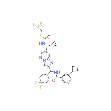 O=C(CCC(F)(F)F)NC(c1cnn2cc([C@@H](NC(=O)c3cncc(C4CCC4)c3)C3CCC(F)(F)CC3)nc2c1)C1CC1